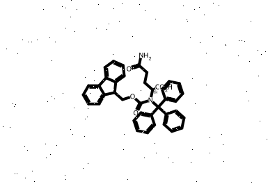 NC(=O)CC[C@@H](C(=O)O)N(C(=O)OCC1c2ccccc2-c2ccccc21)C(c1ccccc1)(c1ccccc1)c1ccccc1